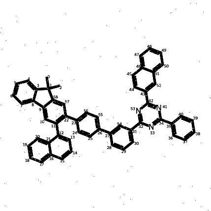 CC1(C)c2ccccc2-c2cc(-c3cccc4ccccc34)c(-c3ccc(-c4cccc(-c5nc(-c6ccccc6)nc(-c6ccc7ccccc7c6)n5)c4)cc3)cc21